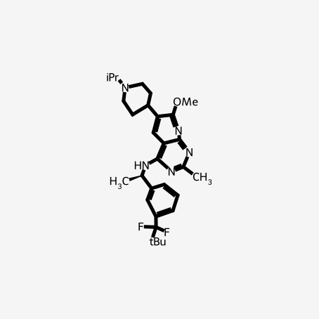 COc1nc2nc(C)nc(N[C@H](C)c3cccc(C(F)(F)C(C)(C)C)c3)c2cc1C1CCN(C(C)C)CC1